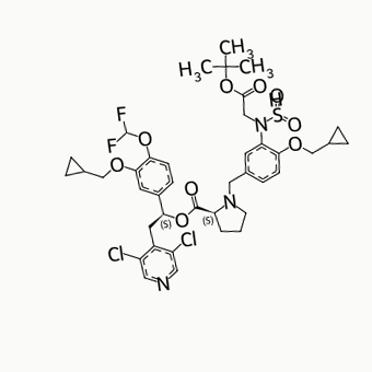 CC(C)(C)OC(=O)CN(c1cc(CN2CCC[C@H]2C(=O)O[C@@H](Cc2c(Cl)cncc2Cl)c2ccc(OC(F)F)c(OCC3CC3)c2)ccc1OCC1CC1)[SH](=O)=O